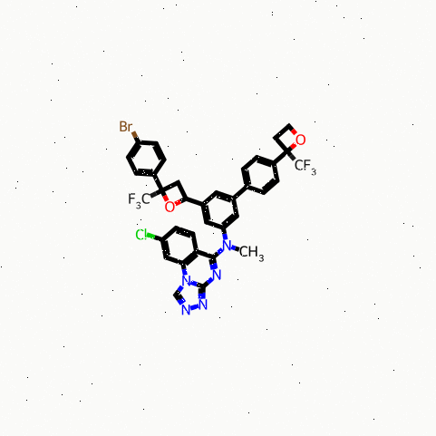 CN(c1cc(-c2ccc(C3(C(F)(F)F)CCO3)cc2)cc(C2CC(c3ccc(Br)cc3)(C(F)(F)F)O2)c1)c1nc2nncn2c2cc(Cl)ccc12